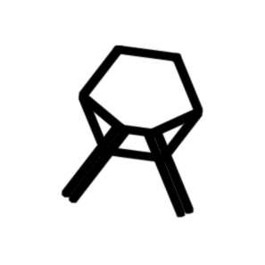 C=C1C(=C)C2CCC1CC2